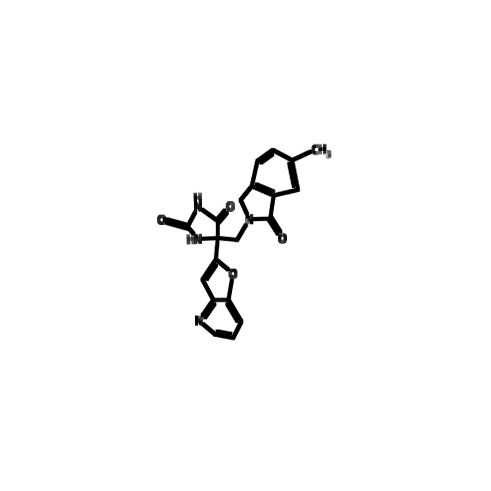 Cc1ccc2c(c1)C(=O)N(CC1(c3cc4ncccc4o3)NC(=O)NC1=O)C2